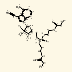 C#Cc1cn([C@@H]2O[C@H](COP(=O)(OCCSC(=O)CC(C)C)OCCSC(=O)CC(C)C)[C@@H](O)[C@@]2(C)F)c2ncnc(N)c12